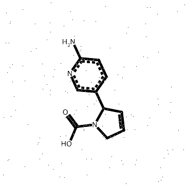 Nc1ccc(C2C=CCN2C(=O)O)cn1